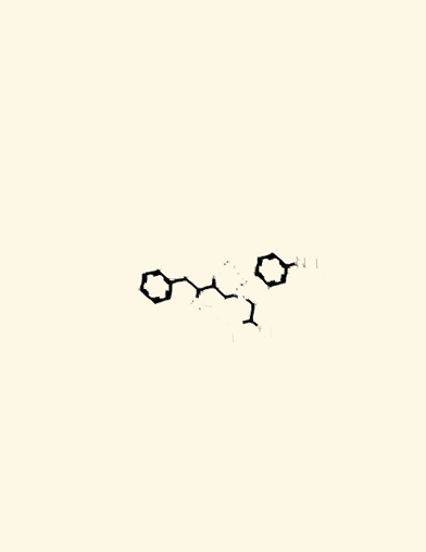 CC(C)CN(CC(O)C(N)Cc1ccccc1)[S+]([O-])c1ccc(N)cc1